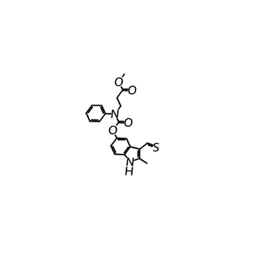 COC(=O)CCN(C(=O)Oc1ccc2[nH]c(C)c(C=S)c2c1)c1ccccc1